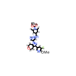 COc1ncc(-c2nn(/C(C=N)=C/NCC3CC(C)N(C(=O)OC(C)(C)C)C(C)C3)c3c2CCOCC3)cc1F